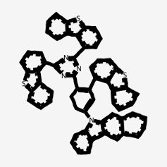 C1=C(n2c3ccccc3c3cc4ccccc4cc32)CCC(c2nc(-c3cccc4sc5ccccc5c34)nc(-c3cccc4sc5ccccc5c34)n2)=C1c1cccc2sc3ccccc3c12